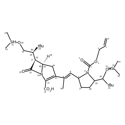 C=CCOC(=O)N1C(C=C(C)C2=C(C(=O)O)N3C(=O)[C@@H]([C@@H](CO[SiH](C)C)C(C)(C)C)[C@H]3C2)CCC1C(O[SiH](C)C)C(C)(C)C